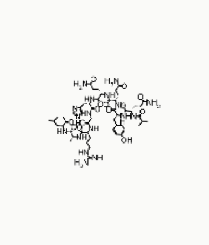 CC(=O)[C@H](CC(C)C)NC(=O)[C@H](C)NC(=O)[C@H](CCCNC(=N)N)NC(=O)CNC(=O)[C@H](Cc1c[nH]cn1)NC(=O)[C@H](CCC(N)=O)NC(=O)[C@H](CCC(N)=O)NC(=O)[C@H](Cc1ccc(O)cc1)NC(=O)[C@H](CCC(N)=O)NC(=O)C(C)C